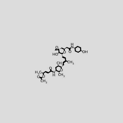 CC(=O)O[C@@H](C)C=CC(=O)N[C@@H]1C[C@H](C)[C@H](CC=C(C)C=C[C@H]2O[C@H](CC(=O)N[C@H]3CC[C@H](O)CC3)C[C@@]3(CO3)[C@@H]2O)O[C@@H]1C